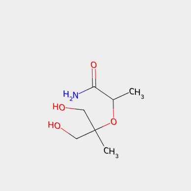 CC(OC(C)(CO)CO)C(N)=O